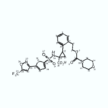 O=C(OCCc1ccccc1C1CC1(NS(=O)(=O)c1ccc(-c2cc(C(F)(F)F)on2)s1)C(=O)O)N1CCOCC1